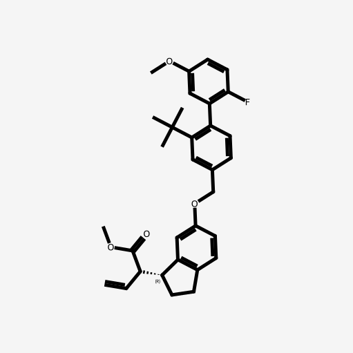 C=CC(C(=O)OC)[C@H]1CCc2ccc(OCc3ccc(-c4cc(OC)ccc4F)c(C(C)(C)C)c3)cc21